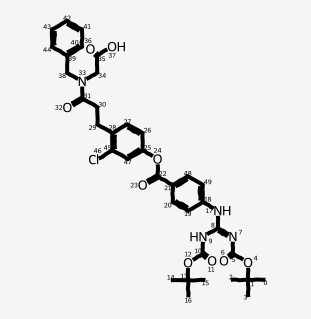 CC(C)(C)OC(=O)/N=C(\NC(=O)OC(C)(C)C)Nc1ccc(C(=O)Oc2ccc(CCC(=O)N(CC(=O)O)Cc3ccccc3)c(Cl)c2)cc1